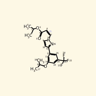 CC(C)OC(=O)/C=C\n1ccc(-c2cc(OC(C)C)cc(C(F)(F)F)c2)n1